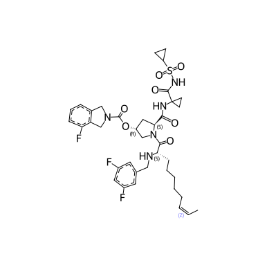 C/C=C\CCCCC[C@H](NCc1cc(F)cc(F)c1)C(=O)N1C[C@H](OC(=O)N2Cc3cccc(F)c3C2)C[C@H]1C(=O)NC1(C(=O)NS(=O)(=O)C2CC2)CC1